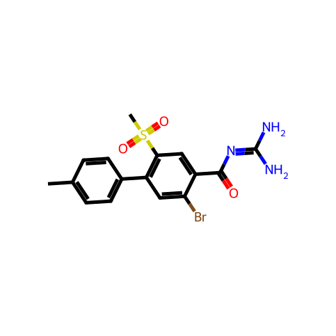 Cc1ccc(-c2cc(Br)c(C(=O)N=C(N)N)cc2S(C)(=O)=O)cc1